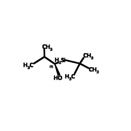 CC(C)[C@H](O)[SiH2]C(C)(C)C